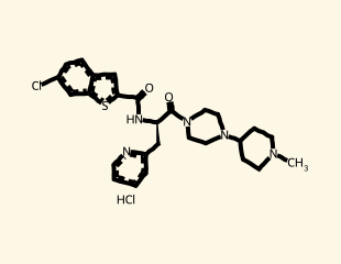 CN1CCC(N2CCN(C(=O)[C@@H](Cc3ccccn3)NC(=O)c3cc4ccc(Cl)cc4s3)CC2)CC1.Cl